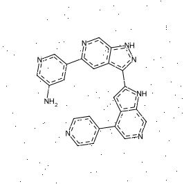 Nc1cncc(-c2cc3c(-c4cc5c(-c6ccncc6)cncc5[nH]4)n[nH]c3cn2)c1